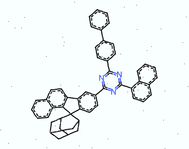 c1ccc(-c2ccc(-c3nc(-c4ccc5c(c4)-c4ccc6ccccc6c4C54C5CC6CC(C5)CC4C6)nc(-c4cccc5ccccc45)n3)cc2)cc1